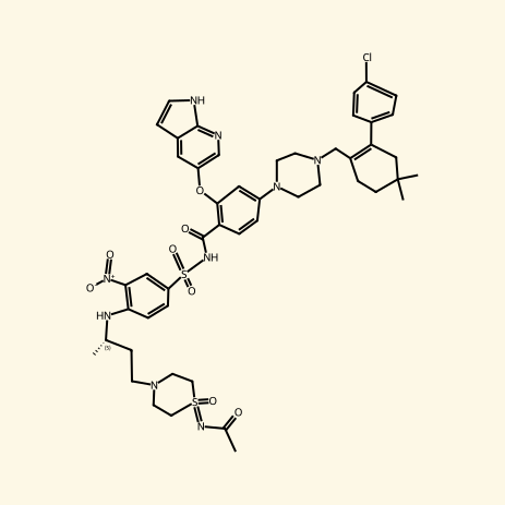 CC(=O)N=S1(=O)CCN(CC[C@H](C)Nc2ccc(S(=O)(=O)NC(=O)c3ccc(N4CCN(CC5=C(c6ccc(Cl)cc6)CC(C)(C)CC5)CC4)cc3Oc3cnc4[nH]ccc4c3)cc2[N+](=O)[O-])CC1